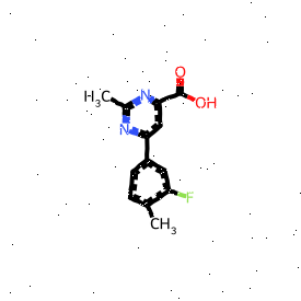 Cc1nc(C(=O)O)cc(-c2ccc(C)c(F)c2)n1